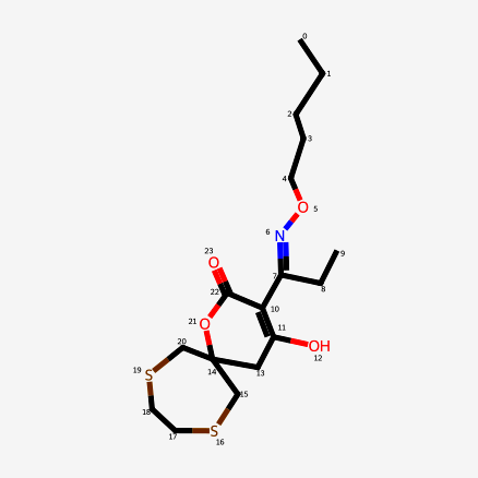 CCCCCON=C(CC)C1=C(O)CC2(CSCCSC2)OC1=O